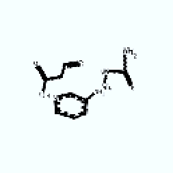 NNC(N)=S.Nc1cccnc1.O=CCC(=O)O